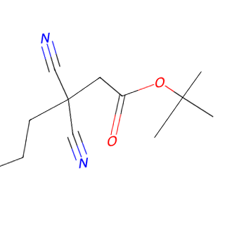 CCCCC(C#N)(C#N)CC(=O)OC(C)(C)C